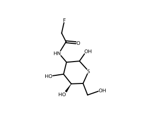 O=C(CF)NC1C(O)SC(CO)[C@@H](O)C1O